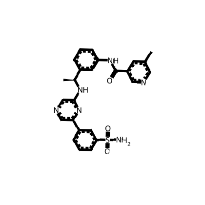 Cc1cncc(C(=O)Nc2cccc([C@H](C)Nc3cncc(-c4cccc(S(N)(=O)=O)c4)n3)c2)c1